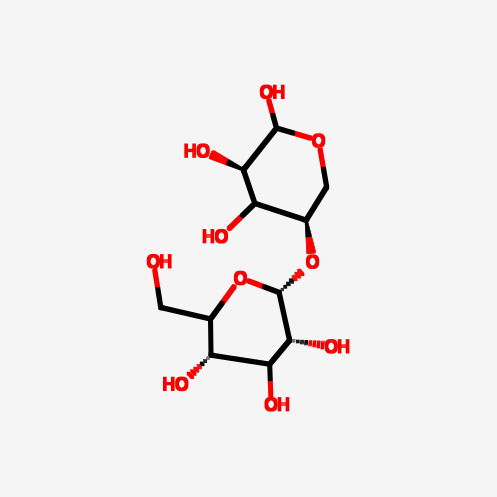 OCC1O[C@H](O[C@@H]2COC(O)[C@H](O)C2O)[C@H](O)C(O)[C@@H]1O